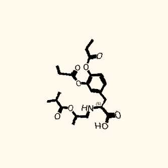 CCC(=O)Oc1ccc(C[C@H](NCC(C)OC(=O)C(C)C)C(=O)O)cc1OC(=O)CC